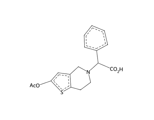 CC(=O)Oc1cc2c(s1)CCN(C(C(=O)O)c1ccccc1)C2